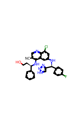 N#Cc1cnc2c(Cl)cc(N[C@@H](c3ccc(F)cc3)c3c[nH]nn3)cc2c1N[C@H](CCO)c1ccccc1